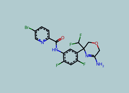 NC1=NC(c2cc(NC(=O)c3ccc(Br)cn3)c(F)cc2F)(C(F)F)COC1